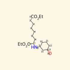 CCOC(=O)CCCCCCC(NC1CCCC(=O)C1)C(=O)OCC